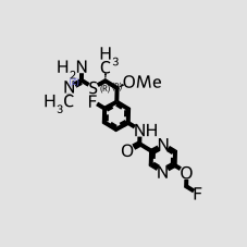 C/N=C(/N)S[C@H](C)[C@H](OC)c1cc(NC(=O)c2cnc(OCF)cn2)ccc1F